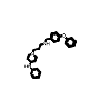 c1ccc(NC2CCN(CCCNCc3ccc(Oc4ccccc4)cc3)CC2)cc1